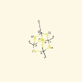 CC12SC3(C)SC(C)(S1)SC(C)(S2)S3